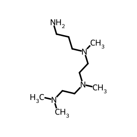 CN(C)CCN(C)CCN(C)CCCN